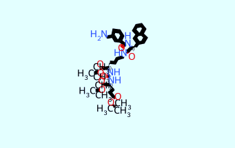 CC(C)(C)OC(=O)CC[C@H](NC(=O)N[C@@H](CCCCNC(=O)[C@H](Cc1ccc2ccccc2c1)NC(=O)c1cccc(CN)c1)C(=O)OC(C)(C)C)C(=O)OC(C)(C)C